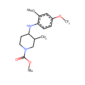 COc1cc(OC(F)(F)F)ccc1NC1CCN(C(=O)OC(C)(C)C)CC1C